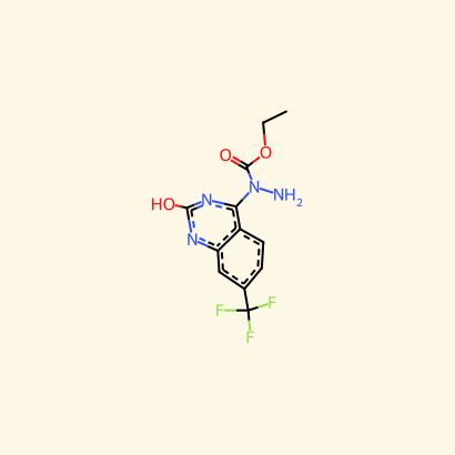 CCOC(=O)N(N)c1nc(O)nc2cc(C(F)(F)F)ccc12